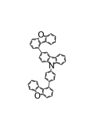 c1ccc2c(c1)oc1cccc(-c3ccc(-n4c5ccccc5c5cc(-c6cccc7oc8ccccc8c67)ccc54)cc3)c12